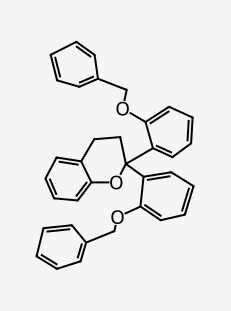 c1ccc(COc2ccccc2C2(c3ccccc3OCc3ccccc3)CCc3ccccc3O2)cc1